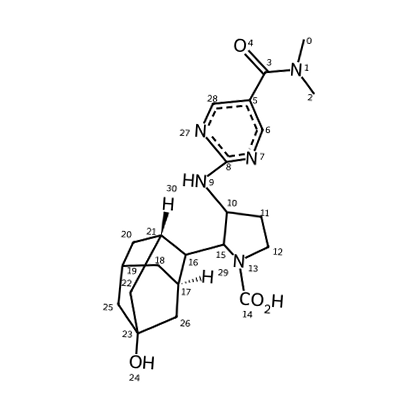 CN(C)C(=O)c1cnc(NC2CCN(C(=O)O)C2C2[C@@H]3CC4C[C@H]2CC(O)(C4)C3)nc1